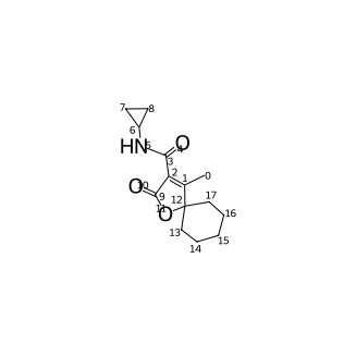 CC1=C(C(=O)NC2CC2)C(=O)OC12CCCCC2